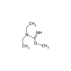 CCN(CC)C(=N)OC